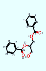 [O]CC(COC(=O)c1ccccc1)OC(=O)c1ccccc1